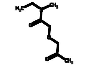 CCN(C)C(=O)COCC(C)=O